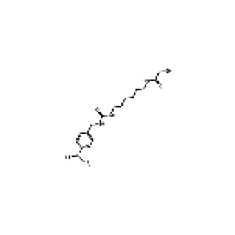 CN(C)c1ccc(CNC(=O)NCCCCCCNC(=O)CS)cc1